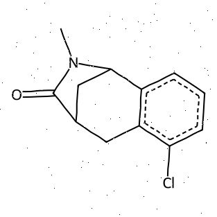 CN1C(=O)C2Cc3c(Cl)cccc3C1C2